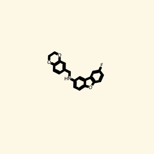 Fc1ccc2oc3ccc(NCc4ccc5c(c4)OCCO5)cc3c2c1